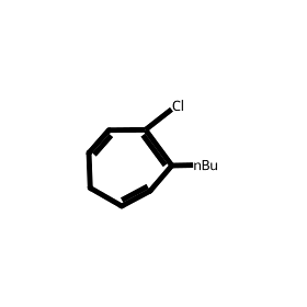 CCCCC1=C(Cl)C=CCC=C1